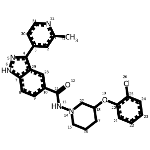 Cc1cc(-c2n[nH]c3ccc(C(=O)NN4CCCC(Oc5ccccc5Cl)C4)cc23)ccn1